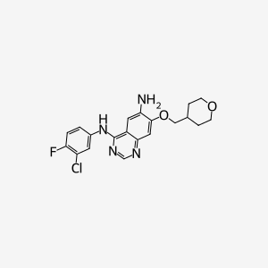 Nc1cc2c(Nc3ccc(F)c(Cl)c3)ncnc2cc1OCC1CCOCC1